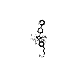 CCCCc1ccc([C@]2(O)C(C)(C)[C@@H](N3CCN(c4ccccn4)CC3)C2(C)C)cc1